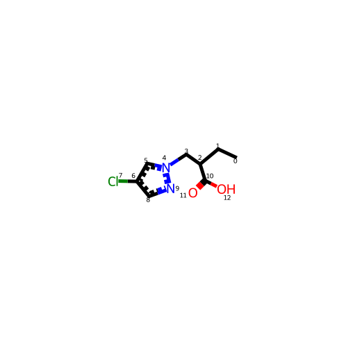 CCC(Cn1cc(Cl)cn1)C(=O)O